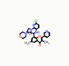 Cc1cc(C(C)Nc2ccc(Cl)nc2N2CC(N3CCOCC3)C2)c2oc(-c3cccnc3)c(C)c(=O)c2c1